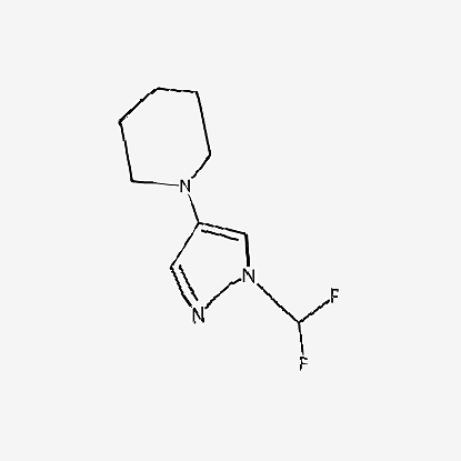 FC(F)n1cc(N2CCCCC2)cn1